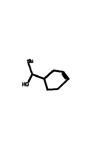 CC(C)(C)C(O)C1CC=CCC1